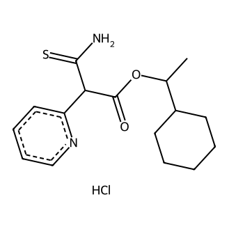 CC(OC(=O)C(C(N)=S)c1ccccn1)C1CCCCC1.Cl